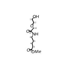 COC(=O)CCCCNC(=O)COCCO